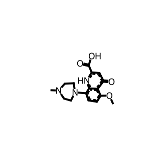 COc1ccc(N2CCN(C)CC2)c2[nH]c(C(=O)O)cc(=O)c12